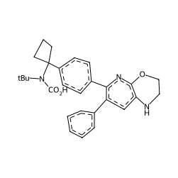 CC(C)(C)N(C(=O)O)C1(c2ccc(-c3nc4c(cc3-c3ccccc3)NCCO4)cc2)CCC1